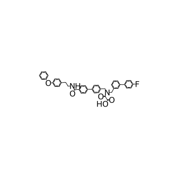 O=C(O)C(=O)N(Cc1ccc(-c2ccc(C(=O)NCCc3ccc(Oc4ccccc4)cc3)cc2)cc1)Cc1cccc(-c2ccc(F)cc2)c1